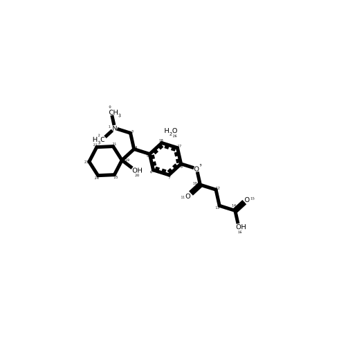 CN(C)CC(c1ccc(OC(=O)CCC(=O)O)cc1)C1(O)CCCCC1.O